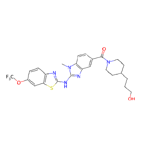 Cn1c(Nc2nc3ccc(OC(F)(F)F)cc3s2)nc2cc(C(=O)N3CCC(CCCO)CC3)ccc21